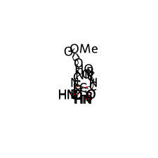 COC(=O)c1ccc(OCCCN2CCN3CCC(OB=N)CCC(OB=N)CCN(CCC(OB=N)CCC(OB=N)CC3)CCN(B(C)O)CC2)cc1